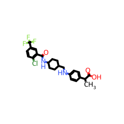 CC(C(=O)O)c1ccc(NCC2CCC(NC(=O)c3cc(C(F)(F)F)ccc3Cl)CC2)cc1